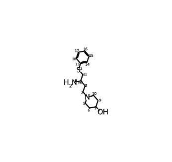 N[C@H](CCN1CCC(O)CC1)CSc1ccccc1